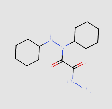 NNC(=O)C(=O)N(NC1CCCCC1)C1CCCCC1